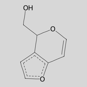 OCC1OC=Cc2occc21